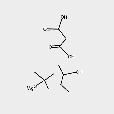 CCC(C)O.C[C](C)(C)[Mg+2].O=C(O)CC(=O)O